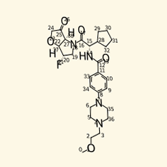 COCCN1CCN(c2ccc(C(=O)N[C@H](C(=O)N3C[C@H](F)[C@H]4OCC(=O)[C@H]43)C3CCCC3)cc2)CC1